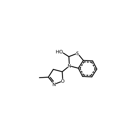 CC1=NOC(N2c3ccccc3SC2O)C1